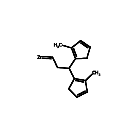 CC1=C(C(C[CH]=[Zr])C2=C(C)C=CC2)CC=C1